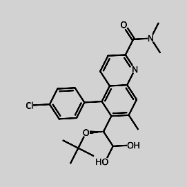 Cc1cc2nc(C(=O)N(C)C)ccc2c(-c2ccc(Cl)cc2)c1[C@H](OC(C)(C)C)C(O)O